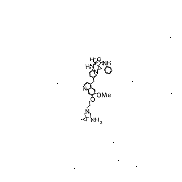 C=C(Nc1ccccc1)C1(C(=C)Nc2ccc(Cc3ccnc4cc(OCCCN5C[C@H](N)C6(CC6)C5)c(OC)cc34)cn2)CC1